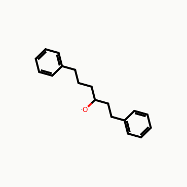 [O]C(CCCc1ccccc1)CCc1ccccc1